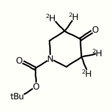 [2H]C1([2H])CN(C(=O)OC(C)(C)C)CC([2H])([2H])C1=O